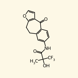 CC(O)(C(=O)Nc1ccc2c(c1)CCc1occc1C2=O)C(F)(F)F